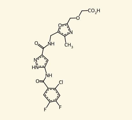 Cc1nc(COCC(=O)O)oc1CNC(=O)c1cc(NC(=O)c2cc(F)c(F)cc2Cl)[nH]n1